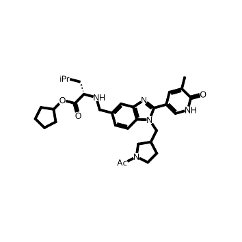 CC(=O)N1CCC(Cn2c(-c3c[nH]c(=O)c(C)c3)nc3cc(CN[C@@H](CC(C)C)C(=O)OC4CCCC4)ccc32)C1